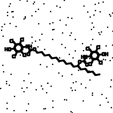 CCCCCCC(CCCCCCCCCCCOC(=O)Nc1c(Cl)c(Cl)c(O)c(Cl)c1Cl)OC(=O)Nc1c(Cl)c(Cl)c(O)c(Cl)c1Cl